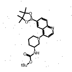 CC(C)(C)OC(=O)N[C@H]1CCCN(c2ccnc3ccc(B4OC(C)(C)C(C)(C)O4)cc23)C1